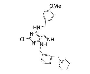 COc1ccc(CNc2nc(Cl)nc(NCc3cccc(CN4CCCCC4)c3)c2C=N)cc1